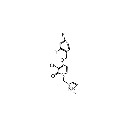 O=c1c(Cl)c(OCc2ccc(F)cc2F)ccn1Cc1cc[nH]n1